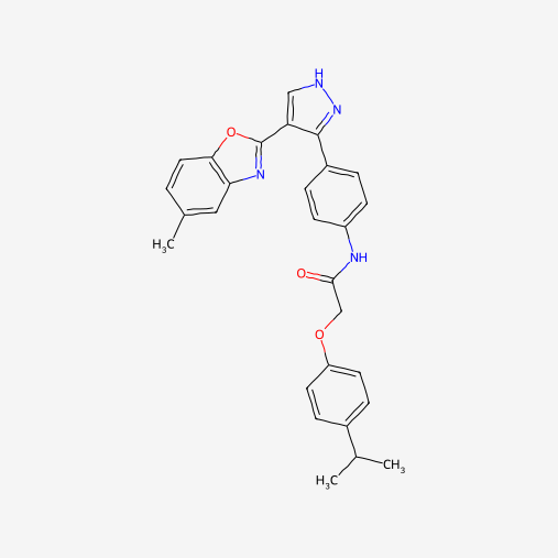 Cc1ccc2oc(-c3c[nH]nc3-c3ccc(NC(=O)COc4ccc(C(C)C)cc4)cc3)nc2c1